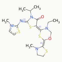 CCN1CO/C(=C2\SCCN2C)S/C1=C1\S/C(=N\c2scc[n+]2C)N(C(C)C)C1=O